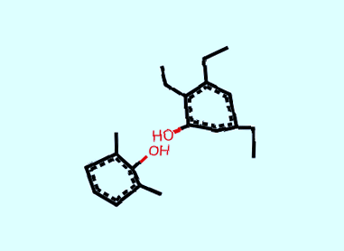 CCc1cc(O)c(CC)c(CC)c1.Cc1cccc(C)c1O